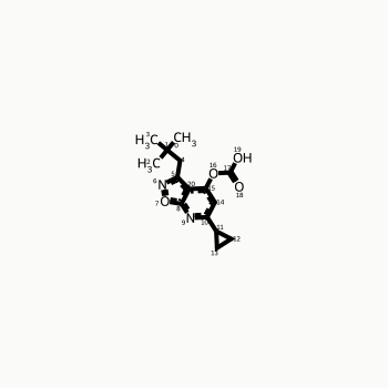 CC(C)(C)Cc1noc2nc(C3CC3)cc(OC(=O)O)c12